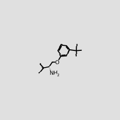 CC(C)[C@@H](N)COc1cccc(C(C)(C)C)c1